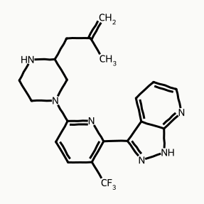 C=C(C)CC1CN(c2ccc(C(F)(F)F)c(-c3n[nH]c4ncccc34)n2)CCN1